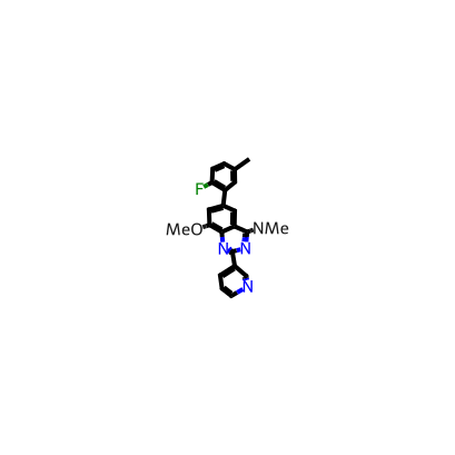 CNc1nc(-c2cccnc2)nc2c(OC)cc(-c3cc(C)ccc3F)cc12